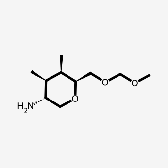 COCOC[C@H]1OC[C@H](N)[C@@H](C)[C@H]1C